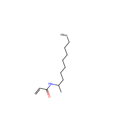 C=CC(=O)NC(C)CCCCCCCCCCCCCCCC